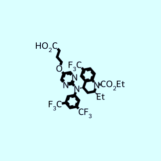 CCOC(=O)N1c2ccc(C(F)(F)F)cc2[C@@H](N(c2cc(C(F)(F)F)cc(C(F)(F)F)c2)c2ncc(OCCCC(=O)O)cn2)C[C@H]1CC